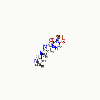 O=c1cnn(-c2cnc3nn(-c4cncc(F)c4)cc3c2)c(=O)n1S